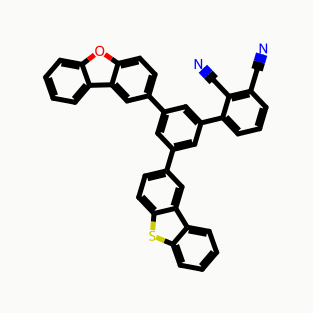 N#Cc1cccc(-c2cc(-c3ccc4oc5ccccc5c4c3)cc(-c3ccc4sc5ccccc5c4c3)c2)c1C#N